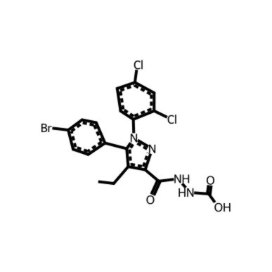 CCc1c(C(=O)NNC(=O)O)nn(-c2ccc(Cl)cc2Cl)c1-c1ccc(Br)cc1